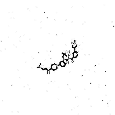 CN(C)CCNC1CCN(c2ccc3nc(NC(=O)c4ccnc(-c5cnn(C)c5)c4)n(CC(C)(C)O)c3c2)CC1